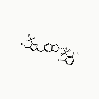 Cc1cccc(Cl)c1S(=O)(=O)N[C@H]1Cc2ccc(Cn3cc(CO)c(C(F)(F)F)n3)cc2C1